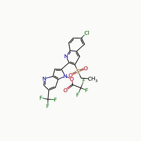 CCS(=O)(=O)c1cc2cc(Cl)ccc2nc1-c1cc2ncc(C(F)(F)F)cc2n1OC(=O)C(F)(F)F